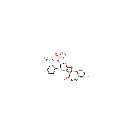 CNC(=O)c1c(-c2ccc(F)cc2)oc2cc(N(CCC(F)(F)F)S(C)(=O)=O)c(-c3ccccc3)cc12